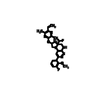 C=Cc1nc(C)c(OC2CN3c4cc(-c5cccc(F)c5OC)nnc4NCC3(C(F)F)C2)nc1C